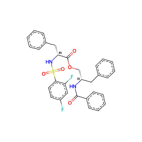 O=C(N[C@H](COC(=O)[C@@H](Cc1ccccc1)NS(=O)(=O)c1ccc(F)cc1F)Cc1ccccc1)c1ccccc1